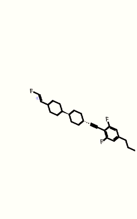 CCCc1cc(F)c(C#C[C@H]2CC[C@H](C3CCC(/C=C/F)CC3)CC2)c(F)c1